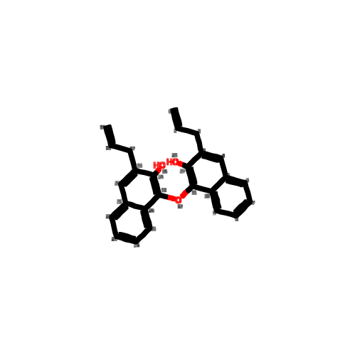 C=CCc1cc2ccccc2c(Oc2c(O)c(CC=C)cc3ccccc23)c1O